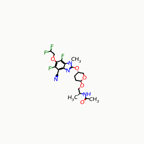 CC(=O)N[C@@H](C)CO[C@H]1CC[C@H](Oc2nc3c(C#N)c(F)c(OCC(F)F)c(F)c3n2C)CO1